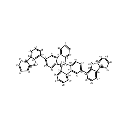 c1ccc(N2B(c3ccc(-c4cccc5c4oc4ccccc45)cc3)c3ccccc3-c3cc(-c4cccc5c4sc4ccccc45)ccc32)cc1